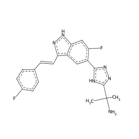 CC(C)(N)c1nnc(-c2cc3c(C=Cc4ccc(F)cc4)n[nH]c3cc2F)[nH]1